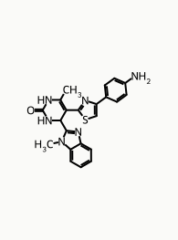 CC1=C(c2nc(-c3ccc(N)cc3)cs2)C(c2nc3ccccc3n2C)NC(=O)N1